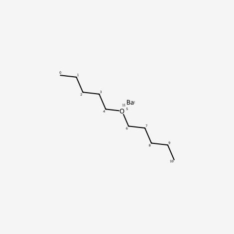 CCCCCOCCCCC.[Ba]